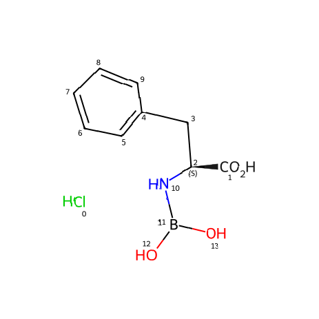 Cl.O=C(O)[C@H](Cc1ccccc1)NB(O)O